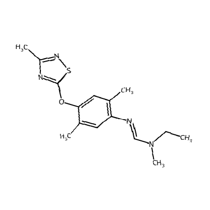 CCN(C)/C=N/c1cc(C)c(Oc2nc(C)ns2)cc1C